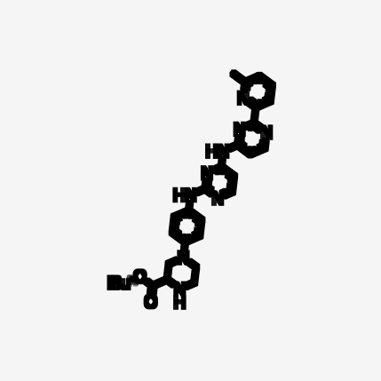 CC[C@H](C)OC(=O)C1CN(c2ccc(Nc3nccc(Nc4ccnc(-c5cccc(C)n5)n4)n3)cc2)CCN1